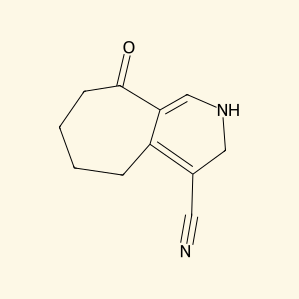 N#CC1=C2CCCCC(=O)C2=CNC1